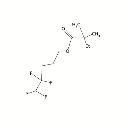 CCC(C)(C)C(=O)OCCCC(F)(F)C(F)F